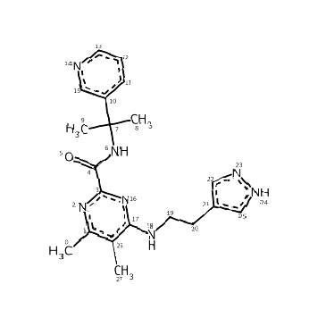 Cc1nc(C(=O)NC(C)(C)c2cccnc2)nc(NCCc2cn[nH]c2)c1C